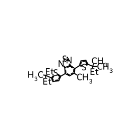 CCC(C)(C)c1ccc(-c2c(C)cc(-c3ccc(C(C)(CC)CC)s3)c3nsnc23)s1